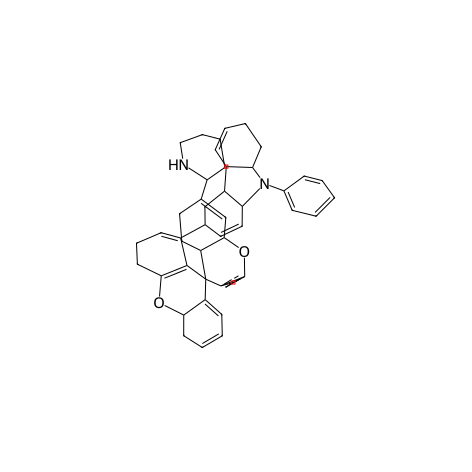 C1=CCC2OC3=C(C(C4C=CC5C(C4)C4C=CCCC4N5c4ccccc4)=CCC3)C3(C2=C1)C1C=CC=CC1OC1C=C(C2CCCCN2)CCC13